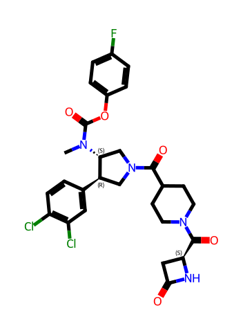 CN(C(=O)Oc1ccc(F)cc1)[C@@H]1CN(C(=O)C2CCN(C(=O)[C@@H]3CC(=O)N3)CC2)C[C@H]1c1ccc(Cl)c(Cl)c1